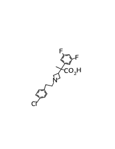 CC(C(=O)O)(c1cc(F)cc(F)c1)C1CN(CCc2ccc(Cl)cc2)C1